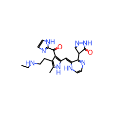 CCNCCc1c(C)[nH]c(C=C2NC=CN=C2C2C=NNC2=O)c1C(=O)c1ncc[nH]1